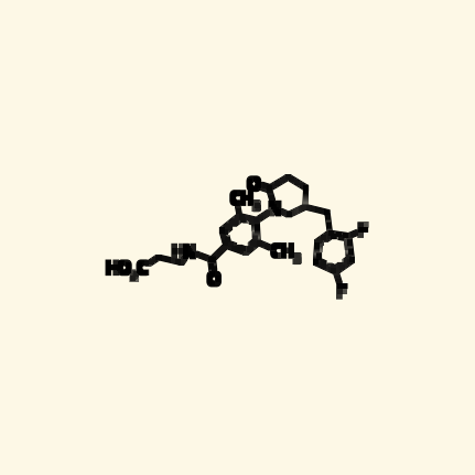 Cc1cc(C(=O)NCCC(=O)O)cc(C)c1N1CC(Cc2ccc(F)cc2F)CCC1=O